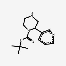 CC(C)(C)OC(=O)N1CCNCC1c1cccnc1